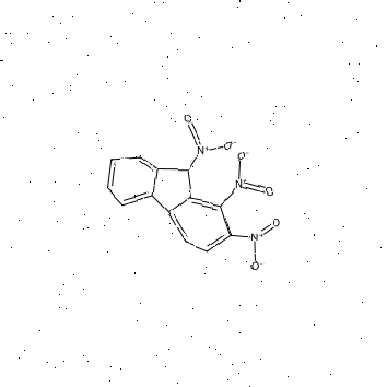 O=[N+]([O-])c1ccc2c(c1[N+](=O)[O-])C([N+](=O)[O-])c1ccccc1-2